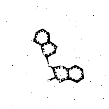 [O]c1nc2ccccc2nc1Oc1ccc2ccccc2n1